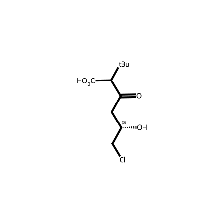 CC(C)(C)C(C(=O)O)C(=O)C[C@H](O)CCl